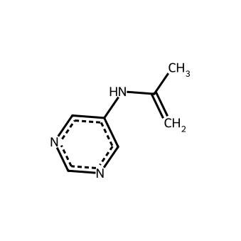 C=C(C)Nc1cncnc1